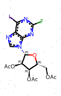 CC(=O)OC[C@H]1O[C@@H](n2cnc3c(I)nc(F)nc32)[C@H](OC(C)=O)[C@@H]1OC(C)=O